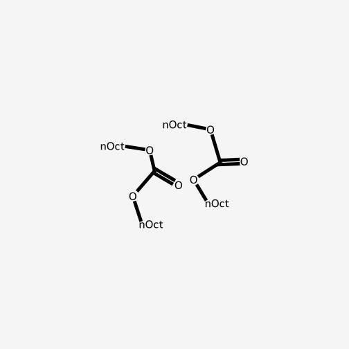 CCCCCCCCOC(=O)OCCCCCCCC.CCCCCCCCOC(=O)OCCCCCCCC